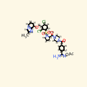 CC(=O)O/N=C(/N)c1ccc(C(=O)N2CCN(C(=O)C3CCCN3S(=O)(=O)c3ccc(Cl)c(COc4cccn5cc(C)nc45)c3Cl)CC2)cc1